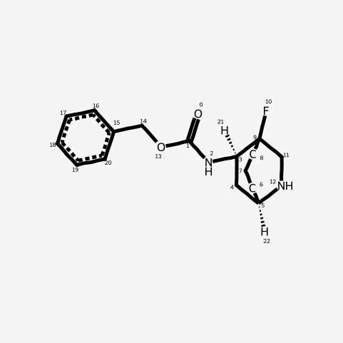 O=C(N[C@@H]1C[C@H]2CCCC1(F)CN2)OCc1ccccc1